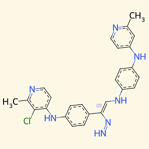 Cc1cc(Nc2ccc(N/C=C(\N=N)c3ccc(Nc4ccnc(C)c4Cl)cc3)cc2)ccn1